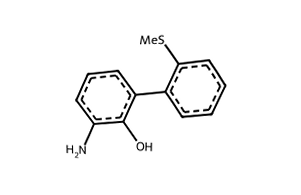 CSc1ccccc1-c1cccc(N)c1O